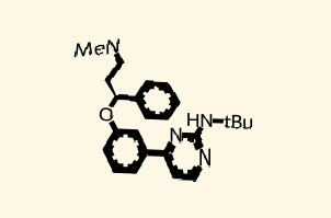 CNCC[C@H](Oc1cccc(-c2ccnc(NC(C)(C)C)n2)c1)c1ccccc1